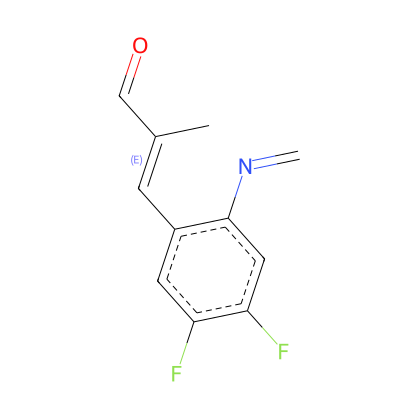 C=Nc1cc(F)c(F)cc1/C=C(\C)C=O